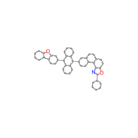 c1ccc(-c2nc3c(ccc4ccc5cc(-c6c7ccccc7c(-c7ccc8c(c7)oc7ccccc78)c7ccccc67)ccc5c43)o2)cc1